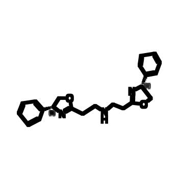 c1ccc([C@@H]2COC(CCNCCC3=N[C@H](c4ccccc4)CO3)=N2)cc1